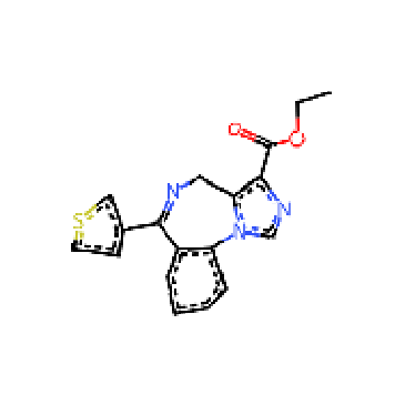 CCOC(=O)c1ncn2c1CN=C(c1ccsc1)c1ccccc1-2